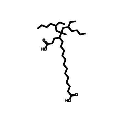 CCCCC(CC)CC(C)(CC(CC)CCCC)C(CCCCCCCCCCCCC(=O)O)CCC(=O)O